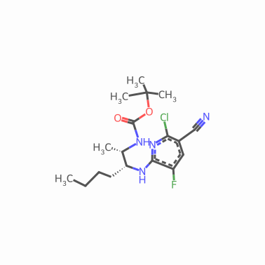 CCCC[C@@H](Nc1nc(Cl)c(C#N)cc1F)[C@H](C)NC(=O)OC(C)(C)C